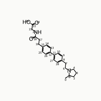 C[C@@H]1CCCN1CCc1ccc(-c2ccc(CCC(=O)NCC(=O)O)cc2)cc1